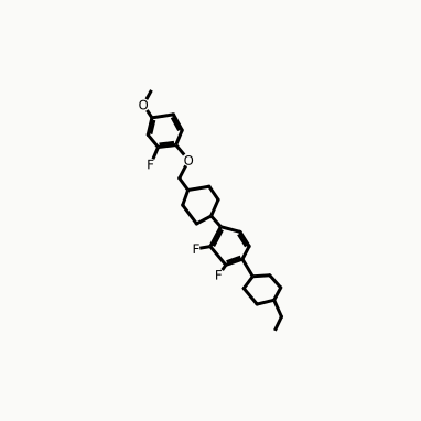 CCC1CCC(c2ccc(C3CCC(COc4ccc(OC)cc4F)CC3)c(F)c2F)CC1